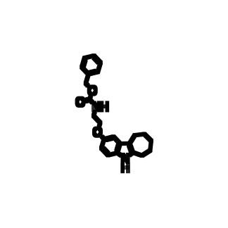 O=C(NCCOc1ccc2[nH]c3c(c2c1)CCCCC3)OCc1ccccc1